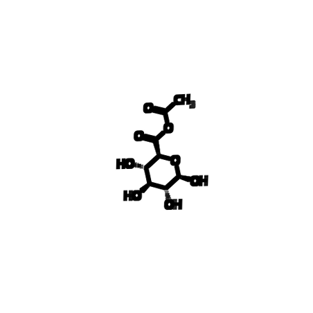 CC(=O)OC(=O)[C@H]1O[C@@H](O)[C@H](O)[C@@H](O)[C@@H]1O